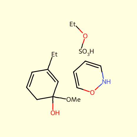 C1=CNOC=C1.CCC1=CC(O)(OC)CC=C1.CCOS(=O)(=O)O